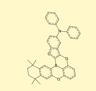 CC1(C)CCC(C)(C)c2cc3c(cc21)Oc1cccc2c1B3c1oc3ccc(N(c4ccccc4)c4ccccc4)cc3c1O2